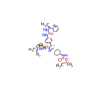 CC(C)OC(=O)N[C@H]1CC[C@H](c2ncc(-c3ccc(NC(=O)N[C@H](C)c4ccccn4)cc3S(=O)(=O)NC(C)(C)C)s2)CC1